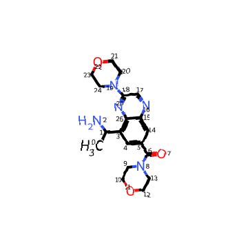 CC(N)c1cc(C(=O)N2CCOCC2)cc2ncc(N3CCOCC3)nc12